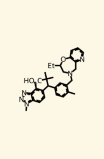 CCC1CN(Cc2cc(C(c3ccc4c(nnn4C)c3C)C(C)(C)C(=O)O)ccc2C)Cc2ncccc2O1